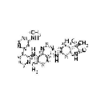 CNc1cc(-c2cccnc2Nc2c(C)ccc3c(Nc4ccc5c(c4)NC(=O)C5(C)C)ncnc23)ncn1